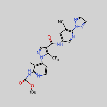 Cc1c(-n2ncc(C(=O)Nc3cnc(-n4nccn4)c(C#N)c3)c2C(F)(F)F)ccnc1NC(=O)OC(C)(C)C